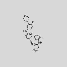 C=CC(=O)Nc1cc(C2NC(Nc3ccc(Cl)c(N4CCOCC4)c3)=NC=C2C#N)ccc1F